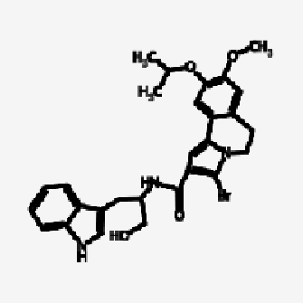 COc1cc2c(cc1OC(C)C)-c1cc(C(=O)NC(CO)Cc3c[nH]c4ccccc34)c(Br)n1CC2